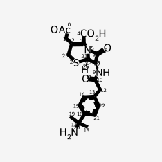 CC(=O)OCC1=C(C(=O)O)N2C(=O)[C@@H](NC(=O)Cc3ccc(C(C)(C)N)cc3)[C@H]2SC1